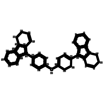 C1=Cc2c(c3ccccc3n2C2=CC=C(Oc3ccc(-n4c5c(c6ccccc64)CCC=C5)cc3)CC2)CC1